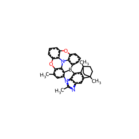 Cc1cc2c3c4c1Oc1cccc5c1N4c1c(cccc1B3c1c3c(cc4nc(C)n-2c14)C1(C)CCC3(C)CC1)O5